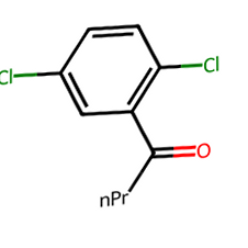 CCCC(=O)c1cc(Cl)ccc1Cl